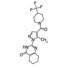 Cc1c(C(=O)N2CCC(C(F)(F)F)CC2)cnn1-c1nc2c(c(=O)[nH]1)CCCC2